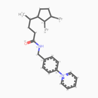 CC(C)C1CCC(C(C)CCC(=O)NCc2ccc(-[n+]3ccccc3)cc2)C1C(C)C